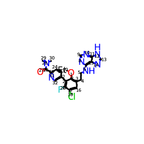 CCOc1c(CCNc2ncnc3[nH]cnc23)cc(Cl)c(F)c1-c1ccc(C(=O)N(C)C)nc1